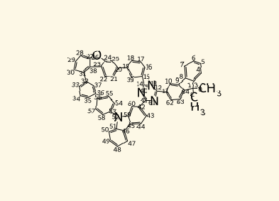 CC1(C)c2ccccc2-c2cc(-c3nc(-c4cccc(-c5ccc6c(c5)oc5cccc(-c7ccccc7)c56)c4)nc(-c4ccc5c6ccccc6n(-c6ccccc6)c5c4)n3)ccc21